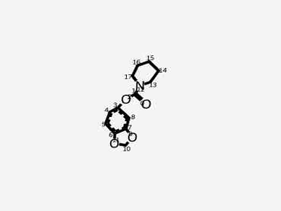 O=C(Oc1ccc2c(c1)OCO2)N1CCCCC1